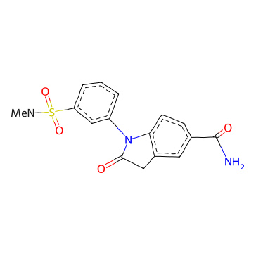 CNS(=O)(=O)c1cccc(N2C(=O)Cc3cc(C(N)=O)ccc32)c1